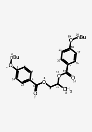 CCCCOc1ccc(C(=O)OCC(C)OC(=O)c2ccc(OCCCC)cc2)cc1